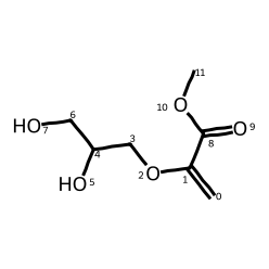 C=C(OCC(O)CO)C(=O)OC